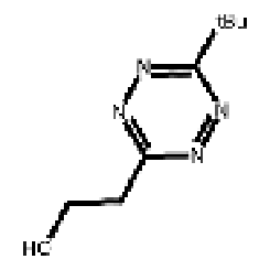 CC(C)(C)c1nnc(CCO)nn1